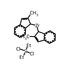 CC1=Cc2ccccc2[CH]1[Zr][CH]1C(C)=Cc2ccccc21.CC[Si](Cl)(Cl)CC